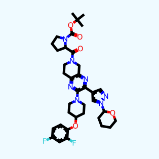 CC(C)(C)OC(=O)N1CCCC1C(=O)N1CCc2nc(N3CCC(Oc4ccc(F)cc4F)CC3)c(-c3cnn(C4CCCCO4)c3)nc2C1